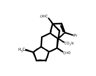 CC(C)C1=CC2(C=O)CC3(C=O)C4CCC(C)C4CC2C13C(=O)O